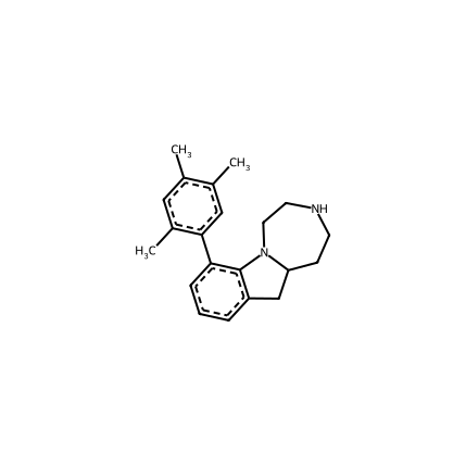 Cc1cc(C)c(-c2cccc3c2N2CCNCCC2C3)cc1C